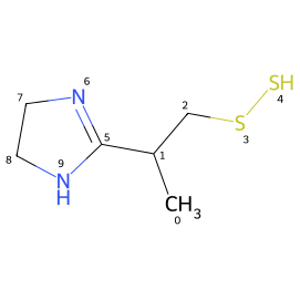 CC(CSS)C1=NCCN1